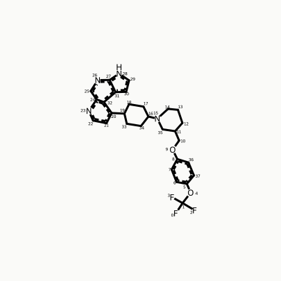 FC(F)(F)Oc1ccc(OCC2CCCN(C3CCC(c4ccnc5cnc6[nH]ccc6c45)CC3)C2)cc1